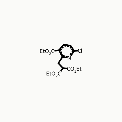 CCOC(=O)c1ccc(Cl)nc1CC(C(=O)OCC)C(=O)OCC